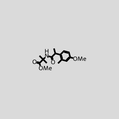 COC(=O)C(C)(C)NC(=O)C(C)c1ccc(OC)cc1C